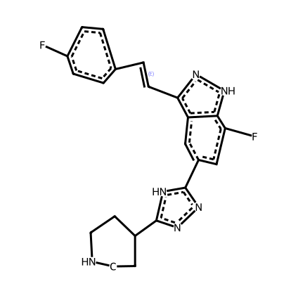 Fc1ccc(/C=C/c2n[nH]c3c(F)cc(-c4nnc(C5CCNCC5)[nH]4)cc23)cc1